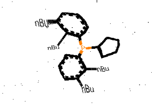 CCCCc1cccc(P(c2cccc(CCCC)c2CCCC)C2CCCC2)c1CCCC